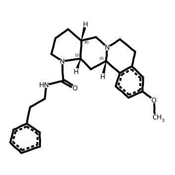 COc1ccc2c(c1)CCN1C[C@H]3CCCN(C(=O)NCCc4ccccc4)[C@H]3C[C@@H]21